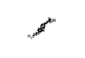 COCCOc1cnc(N2CCN(CCCNC(=O)O)CC2)c(F)c1